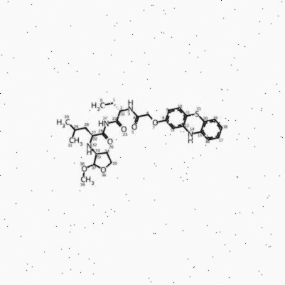 CC[C@H](NC(=O)COc1ccc2c(c1)Nc1ccccc1S2)C(=O)NC(=O)[C@H](CC(C)C)N[C@H]1CCOC1OC